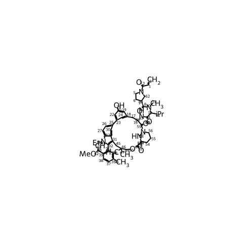 C=CC(=O)N1CC[C@H](C(=O)N(C)C(C(=O)N[C@H]2Cc3cc(O)cc(c3)-c3ccc4c(c3)c(c(-c3cc(C)ccc3[C@H](C)OC)n4CC)CC(C)(C)COC(=O)[C@@H]3CCCN(N3)C2=O)C(C)C)C1